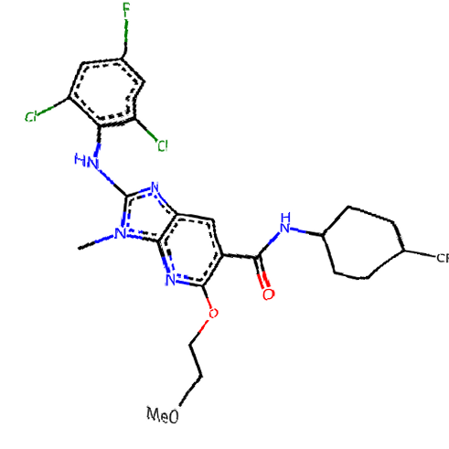 COCCOc1nc2c(cc1C(=O)NC1CCC(C(F)(F)F)CC1)nc(Nc1c(Cl)cc(F)cc1Cl)n2C